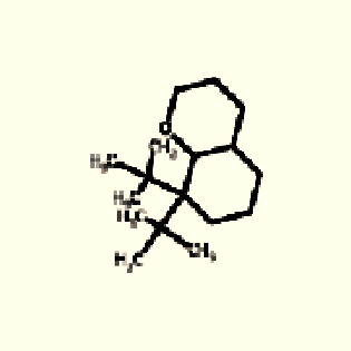 CC(C)(C)C1(C(C)(C)C)CCCC2CCCOC21